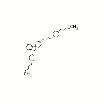 CCCCC[C@H]1CC[C@H](C=CCCC2=CCC(CC[C@H]3CC[C@H](CCCCC)CC3)(c3ccccc3)C=C2)CC1